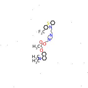 CC(COc1ccc2cccc(N(C)C)c2c1)C(=O)OCCN1CCN(CCCN2c3ccccc3Sc3ccc(C(F)(F)F)cc32)CC1